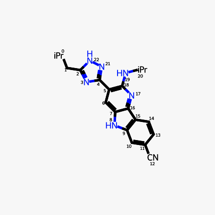 CC(C)Cc1nc(-c2cc3[nH]c4cc(C#N)ccc4c3nc2NC(C)C)n[nH]1